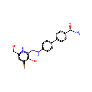 NC(=O)c1ccc(-c2ccc(NCc3[nH]c(CO)cc(=S)c3O)cc2)cc1